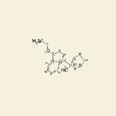 OC1(c2ccc(OC[SiH3])c3ccccc23)CC2CCC1C2